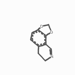 C1=NCCc2ccc3c(c21)OCO3